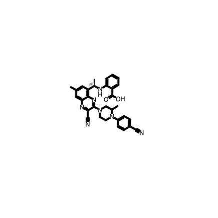 Cc1cc([C@@H](C)Nc2ccccc2C(=O)O)c2nc(N3CCN(c4ccc(C#N)cc4)C(C)C3)c(C#N)nc2c1